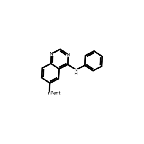 CCCCCc1ccc2ncnc(Nc3ccccc3)c2c1